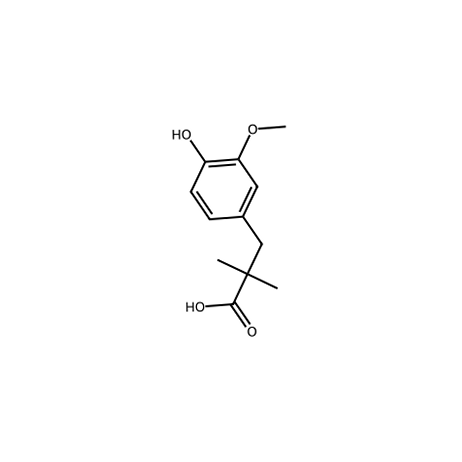 COc1cc(CC(C)(C)C(=O)O)ccc1O